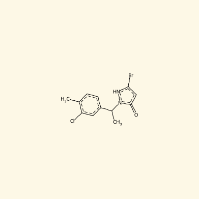 Cc1ccc(C(C)n2[nH]c(Br)cc2=O)cc1Cl